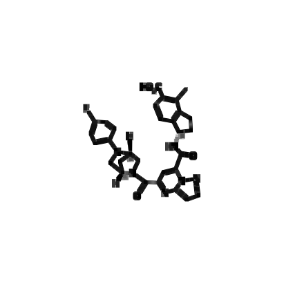 Cc1c(C(=O)O)ccc2c1CC[C@@H]2NC(=O)c1cc(C(=O)N2C[C@@H]3C[C@H]2CN3c2ccc(F)cc2)nc2ccnn12